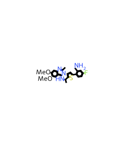 COc1cc2nc(C)nc(NC(C)c3ccc(-c4ccc(F)cc4CN)s3)c2cc1OC